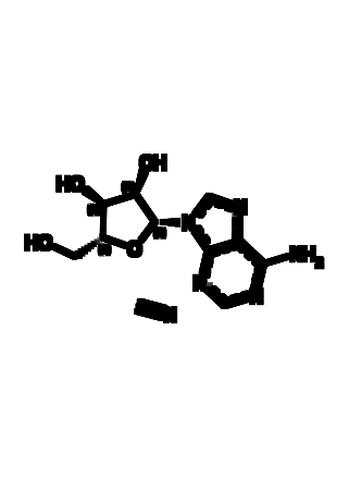 C#N.Nc1ncnc2c1ncn2[C@@H]1O[C@H](CO)[C@@H](O)[C@H]1O